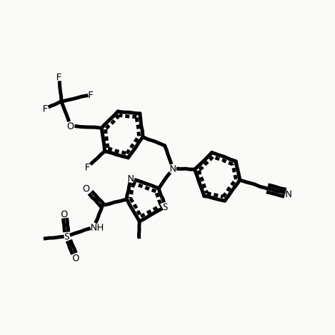 Cc1sc(N(Cc2ccc(OC(F)(F)F)c(F)c2)c2ccc(C#N)cc2)nc1C(=O)NS(C)(=O)=O